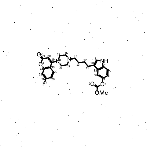 COC(=O)Oc1ccc2[nH]cc(CCCCN3CCN(c4cc(=O)oc5cc(F)ccc45)CC3)c2c1